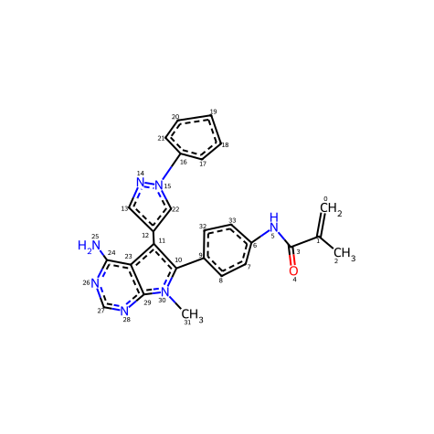 C=C(C)C(=O)Nc1ccc(-c2c(-c3cnn(-c4ccccc4)c3)c3c(N)ncnc3n2C)cc1